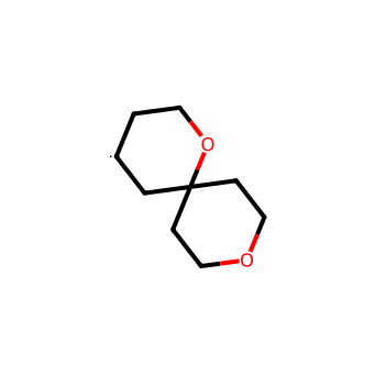 [CH]1CCOC2(C1)CCOCC2